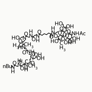 CCCCNC(=O)CNC(O)CNC(C)(C)C(=O)CN(CC(O)O)C(=O)CNC(=O)CNC(C)(C)C(=O)CN(CCO)C(=O)CNC(=O)CNC(=O)CCCCC(=O)NCCO[C@@H]1OC(CO)[C@H](O)C(O[C@H]2OC(CO)[C@H](O)C(O)C2NC(C)=O)C1O[C@H]1CC(O)[C@H](O)C(C)O1